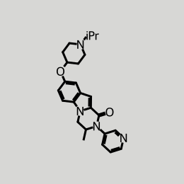 CC(C)N1CCC(Oc2ccc3c(c2)cc2n3CC(C)N(c3cccnc3)C2=O)CC1